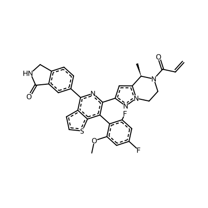 C=CC(=O)N1CCn2nc(-c3nc(-c4ccc5c(c4)C(=O)NC5)c4ccsc4c3-c3c(F)cc(F)cc3OC)cc2[C@H]1C